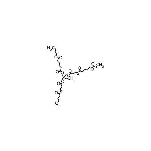 C=CCCOC(=O)CCCCC(=O)OCC(CC)(COC(=O)CCSC(=O)CCC=O)COC(=O)CCSC(=O)CCCCOC(=O)C=C